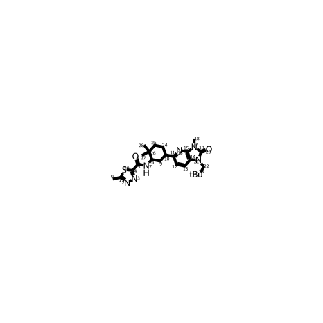 Cc1nnc(C(=O)NC2CC(c3ccc4c(n3)n(C)c(=O)n4CC(C)(C)C)CCC2(C)C)s1